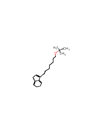 CC(C)(C)OCCCCCCCC1=CCC2=CCCC=C21